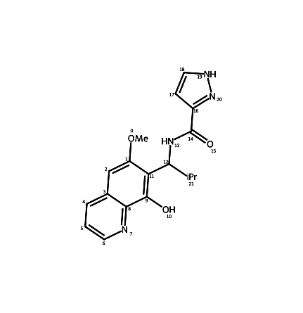 COc1cc2cccnc2c(O)c1C(NC(=O)c1cc[nH]n1)C(C)C